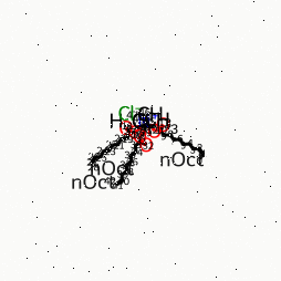 CCCCCCCC/C=C\CCCCCCCC(=O)OCC(COC(=O)CCCCCCC/C=C\CCCCCCCC)(COC(=O)CCCCCCC/C=C\CCCCCCCC)[N+](C)(C)C.[Cl-]